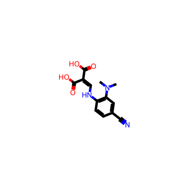 CN(C)c1cc(C#N)ccc1NC=C(C(=O)O)C(=O)O